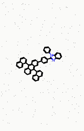 C1=c2c(-c3cccc4ccccc34)c3ccc(-c4ccc(-c5nc6ccccc6n5-c5ccccc5)cc4)cc3c(-c3cccc4ccccc34)c2=CCC1